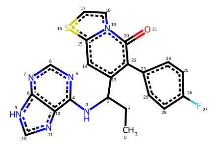 CCC(Nc1ncnc2[nH]cnc12)c1cc2sccn2c(=O)c1-c1ccc(F)cc1